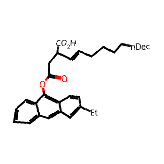 CCCCCCCCCCCCCCC=CC(CC(=O)Oc1c2ccccc2cc2cc(CC)ccc12)C(=O)O